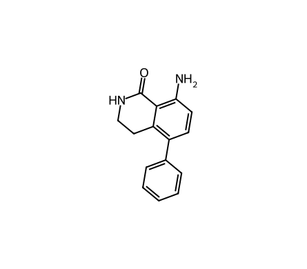 Nc1ccc(-c2ccccc2)c2c1C(=O)NCC2